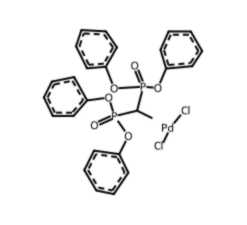 CC(P(=O)(Oc1ccccc1)Oc1ccccc1)P(=O)(Oc1ccccc1)Oc1ccccc1.[Cl][Pd][Cl]